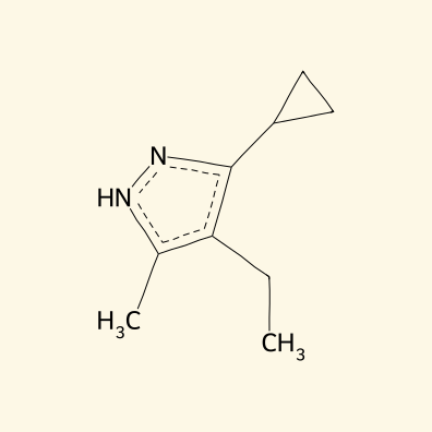 CCc1c(C2CC2)n[nH]c1C